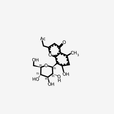 CC(=O)Cc1cc(=O)c2c(C)cc(O)c([C@@H]3O[C@H](CO)[C@@H](O)[C@H](O)[C@H]3O)c2o1